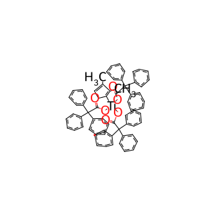 CC1=CC[C]([Ti]([O]C(=O)C(c2ccccc2)(c2ccccc2)c2ccccc2)([O]C(=O)C(c2ccccc2)(c2ccccc2)c2ccccc2)[O]C(=O)C(c2ccccc2)(c2ccccc2)c2ccccc2)=C1C